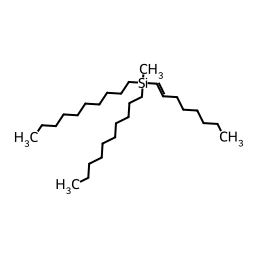 CCCCCC/C=C/[Si](C)(CCCCCCCCCC)CCCCCCCCCC